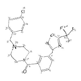 O=C(c1cccc(-c2noc(C(F)(F)F)n2)c1)N1CCN(Cc2ccc(Cl)cc2)CC1